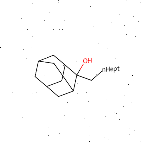 CCCCCCCCC1(O)C2CC3CC(C2)CC1C3